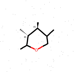 CC1COC(C)[C@H](C)[C@H]1C